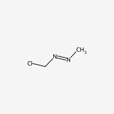 CN=NCCl